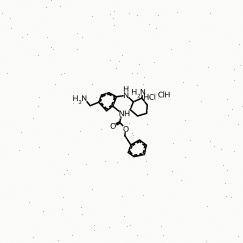 Cl.Cl.NCc1ccc(NC2CCCCC2N)c(NC(=O)OCc2ccccc2)c1